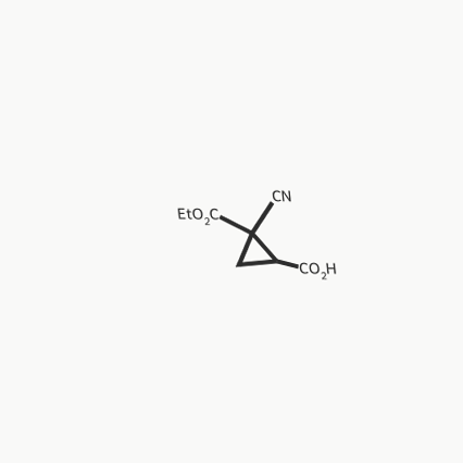 CCOC(=O)C1(C#N)CC1C(=O)O